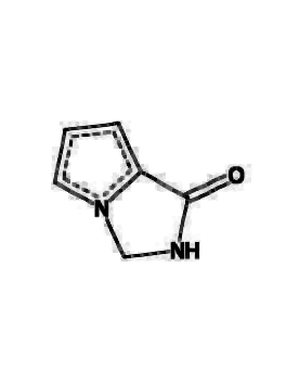 O=C1NCn2cccc21